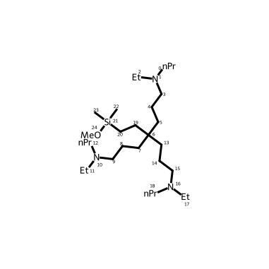 CCCN(CC)CCCC(CCCN(CC)CCC)(CCCN(CC)CCC)CC[Si](C)(C)OC